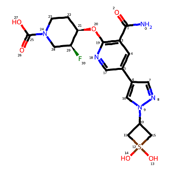 NC(=O)c1cc(-c2cnn(C3CS(O)(O)C3)c2)cnc1O[C@@H]1CCN(C(=O)O)C[C@@H]1F